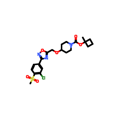 CC1(OC(=O)N2CCC(OCc3nc(-c4ccc(S(C)(=O)=O)c(Cl)c4)no3)CC2)CCC1